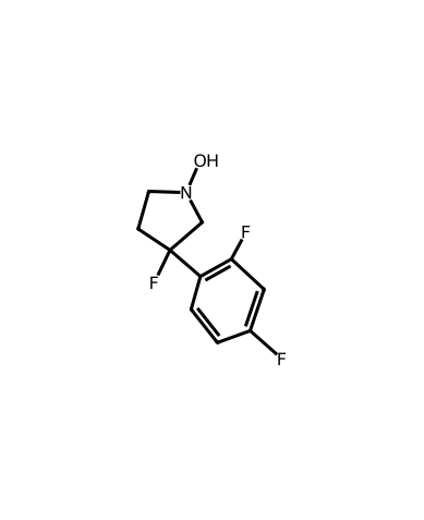 ON1CCC(F)(c2ccc(F)cc2F)C1